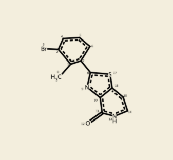 Cc1c(Br)cccc1-c1nc2c(=O)[nH]ccc2s1